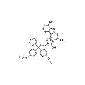 C=C(C)Sc1nc2c(N)ncnc2n1[C@H]1CC(O)[C@@H](COC(c2ccccc2)(c2ccc(OC)cc2)c2ccc(OC)cc2)O1